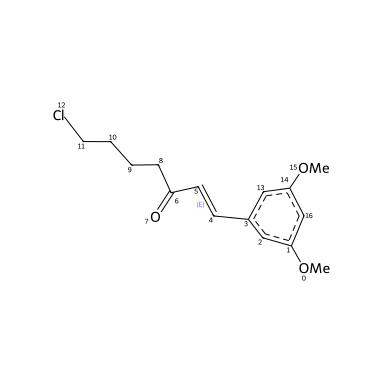 COc1cc(/C=C/C(=O)CCCCCl)cc(OC)c1